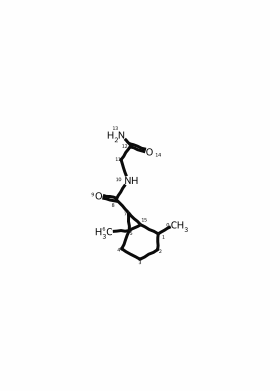 CC1CCCC2(C)C(C(=O)NCC(N)=O)C12